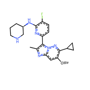 COc1cc2nc(C)c(-c3ccc(F)c(N[C@@H]4CCCNC4)n3)n2nc1C1CC1